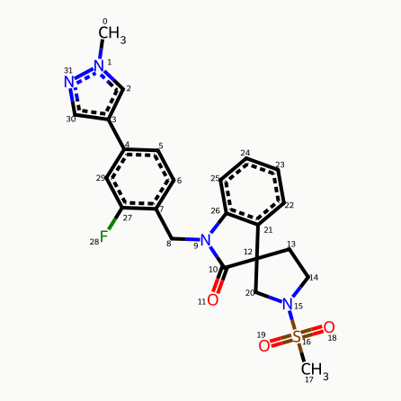 Cn1cc(-c2ccc(CN3C(=O)C4(CCN(S(C)(=O)=O)C4)c4ccccc43)c(F)c2)cn1